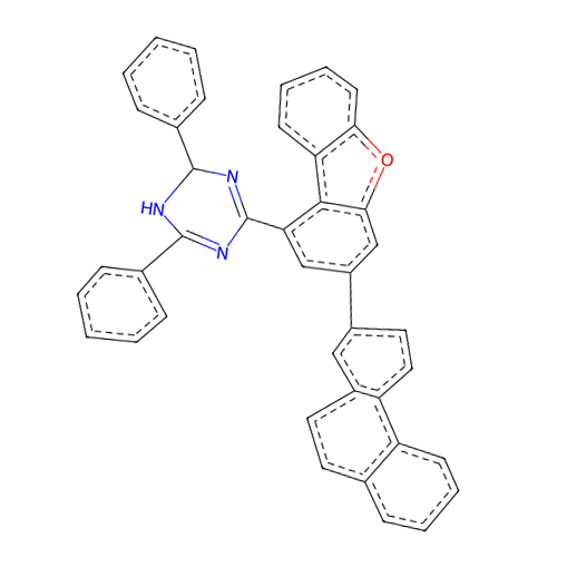 c1ccc(C2=NC(c3cc(-c4ccc5c(ccc6ccccc65)c4)cc4oc5ccccc5c34)=NC(c3ccccc3)N2)cc1